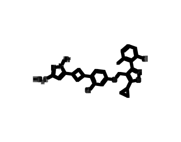 Cc1cccc(Cl)c1-c1noc(C2CC2)c1COc1ccc(C2CC(c3cc(C(=O)O)nn3C(C)C)C2)c(Cl)c1